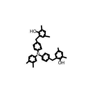 Cc1cc(C)c(O)c(Cc2ccc(N(c3ccc(Cc4cc(C)cc(C)c4O)cc3)c3ccc(C)c(C)c3)cc2)c1